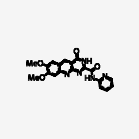 COc1cc2cc3c(=O)[nH]c(C(=O)Nc4ccccn4)nc3nc2cc1OC